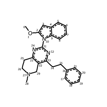 COc1cc2ccccc2n1-c1nc(CCc2ccccc2)c2c(n1)CCN(C)C2